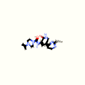 C=C(C)N1CCN(C(=O)Nc2cc(-c3ccnc(NC)n3)c[nH]c2=O)CC1